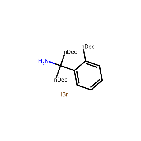 Br.CCCCCCCCCCc1ccccc1C(N)(CCCCCCCCCC)CCCCCCCCCC